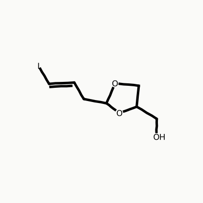 OCC1COC(CC=CI)O1